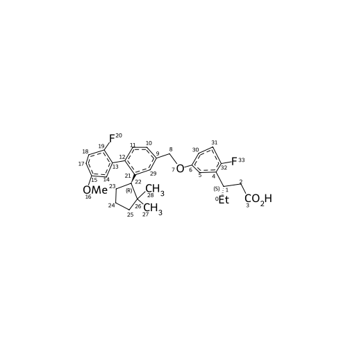 CC[C@@H](CC(=O)O)c1cc(OCc2ccc(-c3cc(OC)ccc3F)c([C@@H]3CCCC3(C)C)c2)ccc1F